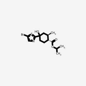 CC(C)OC(=O)[C@@H]1CCC(O)(c2ncc(Br)s2)C[C@H]1C